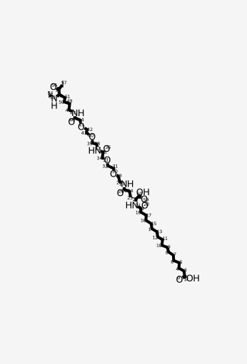 O=C(O)CCCCCCCCCCCCCCCCC(=O)N[C@H](CCC(=O)NCCOCCOCC(=O)NCCOCCOCC(=O)NCCCCC(NI)C(=O)I)C(=O)O